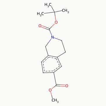 COC(=O)c1ccc2c(c1)CCN(C(=O)OC(C)(C)C)C2